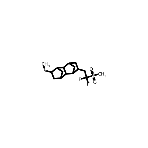 CSC1CC2CC1C1C3CC(CC(F)(F)S(C)(=O)=O)C(C3)C21